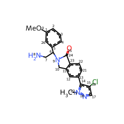 COc1cccc(C(CN)N2Cc3cc(-c4c(Cl)cnn4C)ccc3C2=O)c1